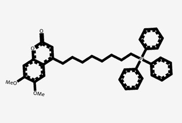 COc1cc2oc(=O)cc(CCCCCCCC[P+](c3ccccc3)(c3ccccc3)c3ccccc3)c2cc1OC